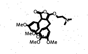 COc1cc(OC)cc(C2C(=O)OC(OCCN(C)C)=C2Cc2cc(OC)c(OC)c(OC)c2)c1